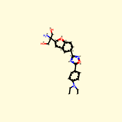 CCN(CC)c1ccc(-c2nc(-c3ccc4oc(C(N)(CO)CO)cc4c3)no2)cc1